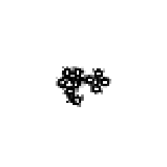 c1ccc([Si](c2ccccc2)(c2ccccc2)c2ccc(-n3c4ccccc4c4c(-n5c6ccccc6c6cccc(-c7ccc8c(c7)oc7ccccc78)c65)cccc43)cc2)cc1